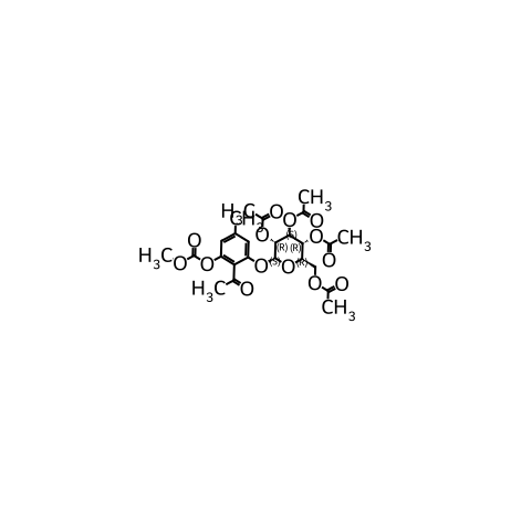 COC(=O)Oc1cc(C)cc(O[C@@H]2O[C@H](COC(C)=O)[C@@H](OC(C)=O)[C@H](OC(C)=O)[C@H]2OC(C)=O)c1C(C)=O